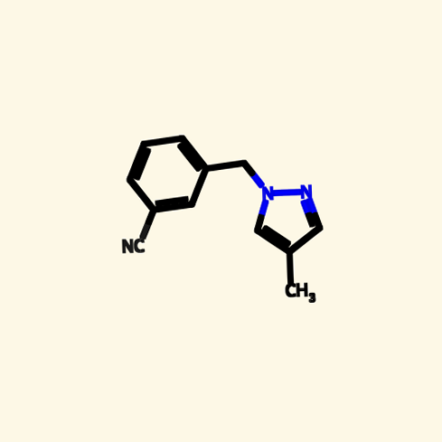 Cc1cnn(Cc2cccc(C#N)c2)c1